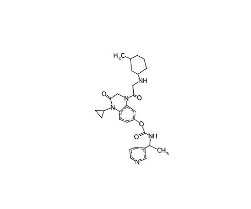 CC1CCCC(NCC(=O)N2CC(=O)N(C3CC3)c3ccc(OC(=O)NC(C)c4cccnc4)cc32)C1